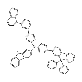 c1ccc(C2(c3ccccc3)c3ccccc3-c3ccc(-c4ccc(N(c5ccc(-c6cccc(-c7cccc8ccccc78)c6)cc5)c5ccc6c(c5)sc5ccccc56)cc4)cc32)cc1